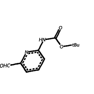 CC(C)(C)OC(=O)Nc1cccc(C=O)n1